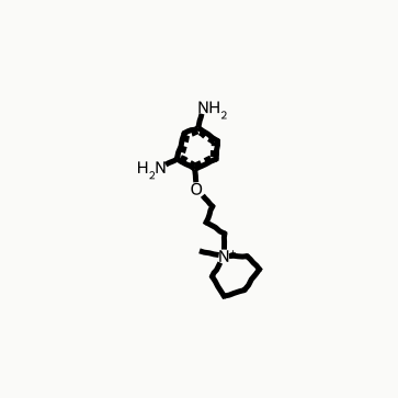 C[N+]1(CCCOc2ccc(N)cc2N)CCCCC1